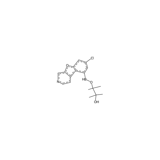 CC(C)(O)C(C)(C)OBc1cc(Cl)cc2oc3cnccc3c12